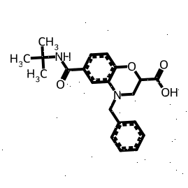 CC(C)(C)NC(=O)c1ccc2c(c1)N(Cc1ccccc1)CC(C(=O)O)O2